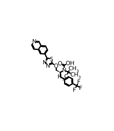 CC(C)(C)N(C(=O)O)[C@H](COc1nnc(-c2ccc3cnccc3c2)s1)Cc1ccc(C(F)(F)F)cc1